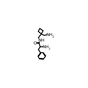 NCC1(CNC(=O)C(N)Cc2ccccc2)CCC1